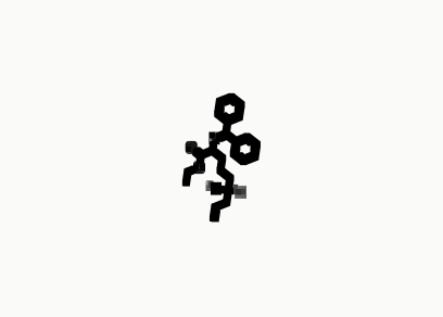 [2H]C([2H])(CC=C)CCCC(N=C(c1ccccc1)c1ccccc1)C(=O)OCC